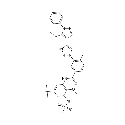 CCc1c(C2=CN(c3cc(C(=O)Nc4cc(C(C)(C)C)cc(NS(C)(=O)=O)c4OC)ccc3C)NN2)cnn1-c1ccccc1